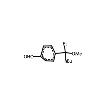 CCCCC(CC)(OC)c1ccc(C=O)cc1